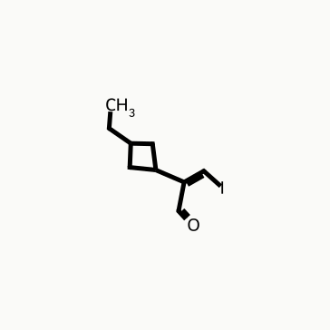 CCC1CC(C(C=O)=CI)C1